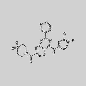 O=C(c1ccc2c(Nc3ccc(F)c(Cl)c3)nc(-c3cccnc3)nc2c1)N1CCS(=O)(=O)CC1